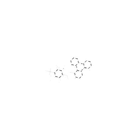 CCC(C)(CC)c1c(F)c(F)c(C(C)Cc2cccc3c4ccccc4c4ccccc4c23)c(F)c1F